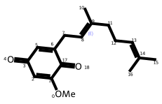 COC1=CC(=O)C=C(C/C=C(\C)CCC=C(C)C)C1=O